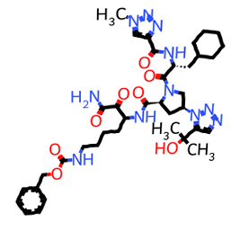 Cn1cc(C(=O)N[C@H](CC2CCCCC2)C(=O)N2C[C@@H](n3nncc3C(C)(C)O)C[C@H]2C(=O)NC(CCCCNC(=O)OCc2ccccc2)C(=O)C(N)=O)nn1